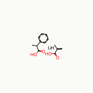 C=C(C)C(=O)O.CC(C(=O)O)c1ccccc1.[LiH]